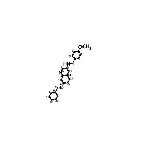 COc1ccc(CNc2cnc3cc(OCc4ccccc4)ccc3c2)cc1